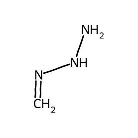 C=NNN